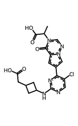 CC(C(=O)O)n1cnn2cc(-c3nc(NC4CC(CC(=O)O)C4)ncc3Cl)cc2c1=O